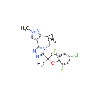 CCn1c(-c2cn(C)nc2C2CC2)nnc1C(C)(C)Oc1c(F)cc(Cl)cc1F